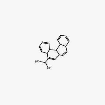 OB(O)C1=CC2C=CC3C=CC=CC3C2C2C=CC=CC12